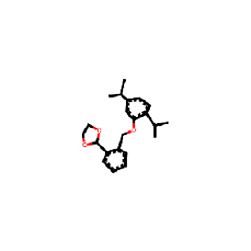 CC(C)c1ccc(C(C)C)c(OCc2ccccc2C2OCCO2)c1